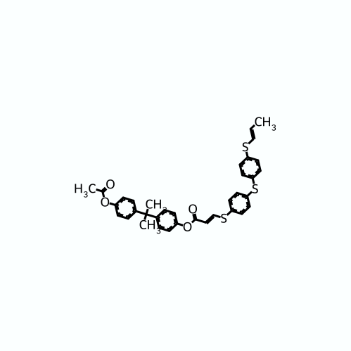 CC=CSc1ccc(Sc2ccc(SC=CC(=O)Oc3ccc(C(C)(C)c4ccc(OC(C)=O)cc4)cc3)cc2)cc1